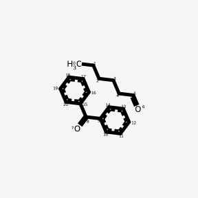 CCCCCC=O.O=C(c1ccccc1)c1ccccc1